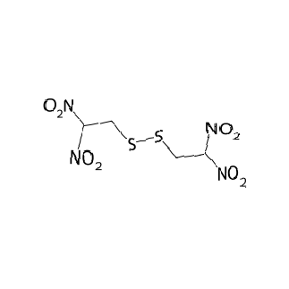 O=[N+]([O-])C(CSSCC([N+](=O)[O-])[N+](=O)[O-])[N+](=O)[O-]